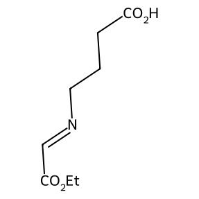 CCOC(=O)/C=N/CCCC(=O)O